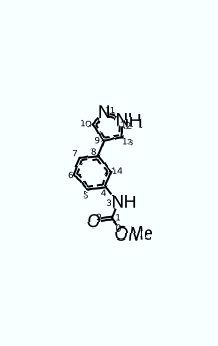 COC(=O)Nc1c[c]cc(-c2cn[nH]c2)c1